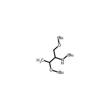 CC(OC(C)(C)C)C(COC(C)(C)C)NC(C)(C)C